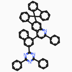 c1ccc(-c2cc(-c3cc(-c4nc(-c5ccccc5)nc(-c5ccccc5)n4)cc4ccccc34)c3cc4c(cc3n2)C2(c3ccccc3-c3ccccc32)c2ccccc2-4)cc1